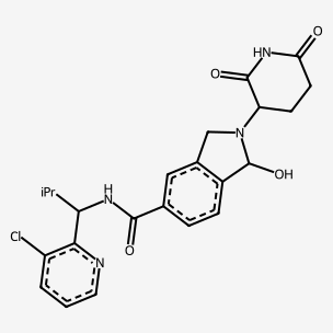 CC(C)C(NC(=O)c1ccc2c(c1)CN(C1CCC(=O)NC1=O)C2O)c1ncccc1Cl